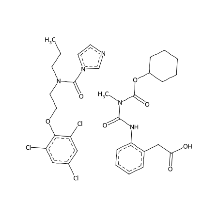 CCCN(CCOc1c(Cl)cc(Cl)cc1Cl)C(=O)n1ccnc1.CN(C(=O)Nc1ccccc1CC(=O)O)C(=O)OC1CCCCC1